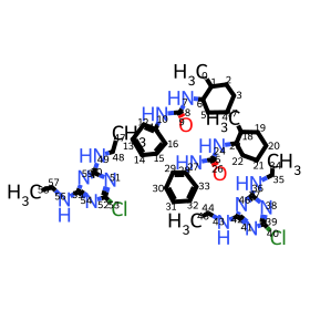 CC1CCCCC1NC(=O)Nc1ccccc1.CC1CCCCC1NC(=O)Nc1ccccc1.CCNc1nc(Cl)nc(NCC)n1.CCNc1nc(Cl)nc(NCC)n1